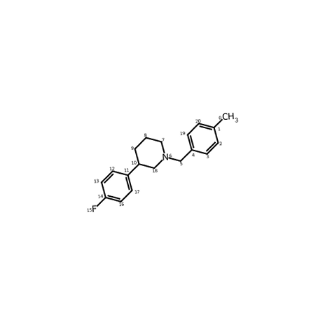 Cc1ccc(CN2CCCC(c3ccc(F)cc3)C2)cc1